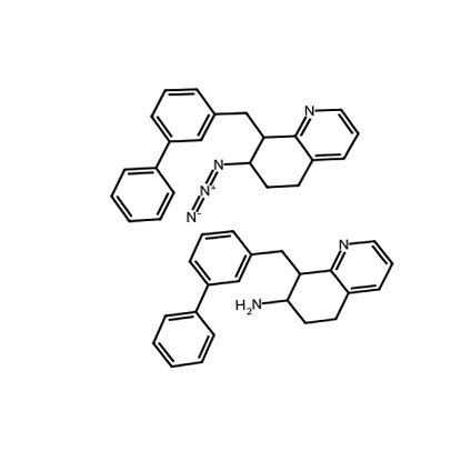 NC1CCc2cccnc2C1Cc1cccc(-c2ccccc2)c1.[N-]=[N+]=NC1CCc2cccnc2C1Cc1cccc(-c2ccccc2)c1